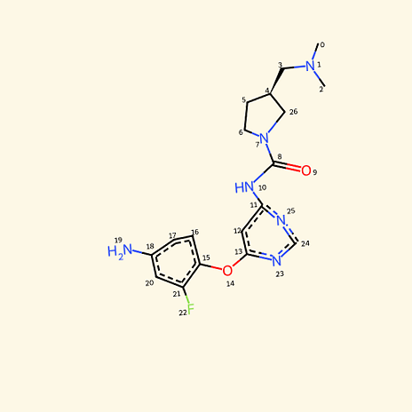 CN(C)C[C@@H]1CCN(C(=O)Nc2cc(Oc3ccc(N)cc3F)ncn2)C1